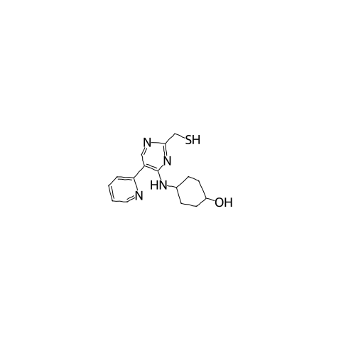 OC1CCC(Nc2nc(CS)ncc2-c2ccccn2)CC1